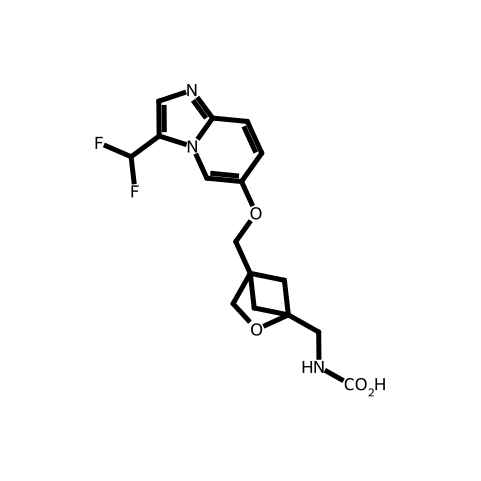 O=C(O)NCC12CC(COc3ccc4ncc(C(F)F)n4c3)(CO1)C2